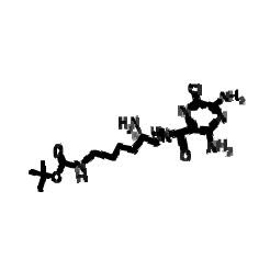 CC(C)(C)OC(=O)NCCCC[C@H](N)CNC(=O)c1nc(Cl)c(N)nc1N